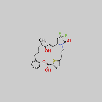 C[C@H](CCCc1ccccc1)[C@H](O)C=C[C@H]1CC(F)(F)C(=O)N1CCCc1ccc(C(=O)O)s1